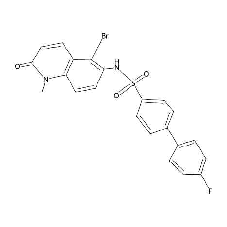 Cn1c(=O)ccc2c(Br)c(NS(=O)(=O)c3ccc(-c4ccc(F)cc4)cc3)ccc21